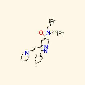 Cc1ccc(-c2nn3ccc(C(=O)N(CCC(C)C)CCC(C)C)cc3c2/C=C/CN2CCCCC2)cc1